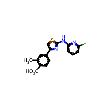 Cc1cc(-c2csc(Nc3cccc(F)n3)n2)ccc1C(=O)O